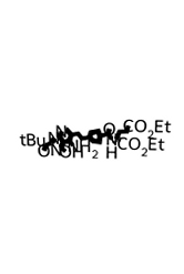 CCOC(=O)CC[C@H](NC(=O)c1ccc(CCc2cnc3nc(C(=O)C(C)(C)C)nc(O)c3c2N)cc1)C(=O)OCC